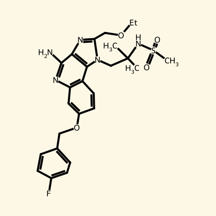 CCOCc1nc2c(N)nc3cc(OCc4ccc(F)cc4)ccc3c2n1CC(C)(C)NS(C)(=O)=O